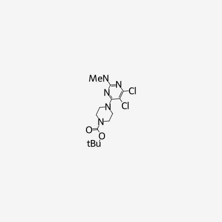 CNc1nc(Cl)c(Cl)c(N2CCN(C(=O)OC(C)(C)C)CC2)n1